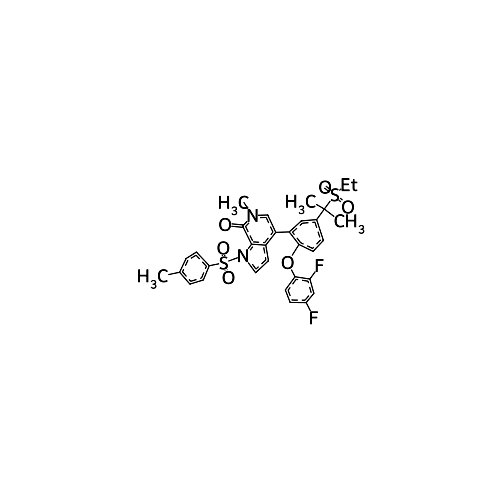 CCS(=O)(=O)C(C)(C)c1ccc(Oc2ccc(F)cc2F)c(-c2cn(C)c(=O)c3c2ccn3S(=O)(=O)c2ccc(C)cc2)c1